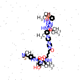 Cc1cc(Nc2ncnc(Nc3ccccc3S(=O)(=O)C(C)C)n2)c(OC(C)C)cc1N1CCC(N2CCN(C(=O)CCCCC(=O)NC(C(=O)N3C[C@H](O)C[C@H]3C(=O)NCc3ccc(-c4scnc4C)cc3)C(C)(C)C)CC2)CC1